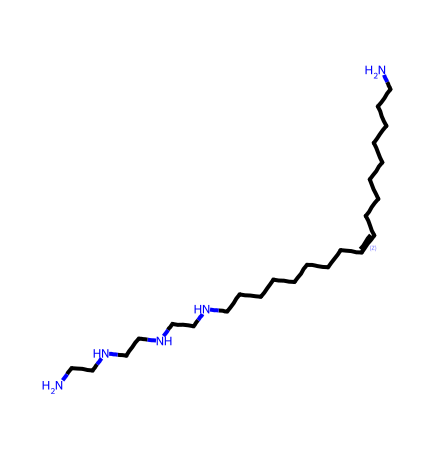 NCCCCCCCC/C=C\CCCCCCCCNCCNCCNCCN